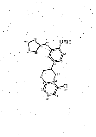 COc1ccc(C2CCc3cncc(Cl)c3C2)cc1OC1CCCC1